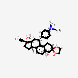 C#C[C@]1(O)CC[C@H]2[C@@H]3CC[C@@]4(O)CC5(CCC4=C3[C@@H](c3ccc(N(C)C)cc3)C[C@@]21C)OCCO5